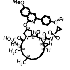 COc1ccc2c(O[C@@H]3C[C@H]4C(=O)N[C@]5(C(=O)NS(=O)(=O)C6CC6)C[C@H]5C=CCC[C@@H](C)C[C@@H](C)[C@H](NC(=O)O)C(=O)N4C3)nc(-c3ccc(OC(C)C)cc3)cc2c1